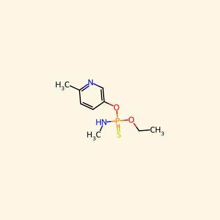 CCOP(=S)(NC)Oc1ccc(C)nc1